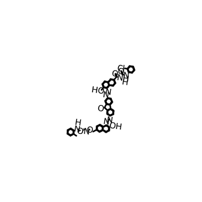 Cc1ccccc1NO/C=N/OCc1ccc2c(N=Nc3ccc4c(c3)C(=O)c3cc(N=Nc5c(O)ccc6cc(C(=O)NC(=O)Nc7ccccc7Cl)ccc56)ccc3-4)c(O)ccc2c1